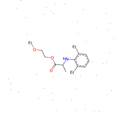 CCOCCOC(=O)C(C)Nc1c(CC)cccc1CC